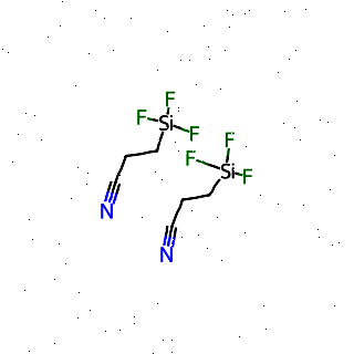 N#CCC[Si](F)(F)F.N#CCC[Si](F)(F)F